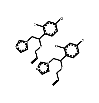 C=CCOC(Cn1ccnc1)c1ccc(Cl)cc1Cl.C=CCOC(Cn1ccnc1)c1ccc(Cl)cc1Cl